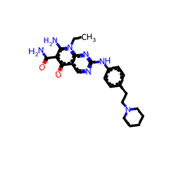 CCn1c(N)c(C(N)=O)c(=O)c2cnc(Nc3ccc(CCN4CCCCC4)cc3)nc21